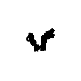 CC(C)(C)OC(=O)N1CCN(c2cncc(-c3cn(Cc4cn5cc(CN(CC6CCC6)C(=O)OC(C)(C)C)ccc5n4)nn3)c2)CC1